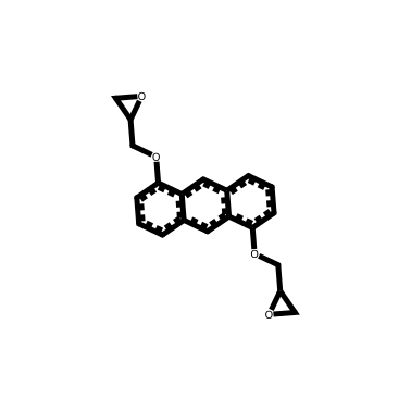 c1cc(OCC2CO2)c2cc3cccc(OCC4CO4)c3cc2c1